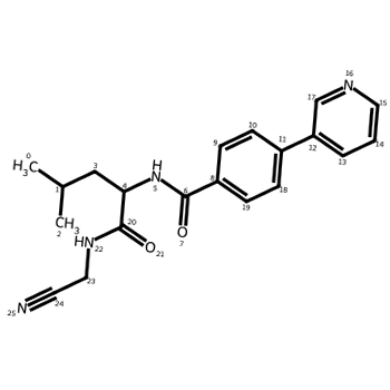 CC(C)CC(NC(=O)c1ccc(-c2cccnc2)cc1)C(=O)NCC#N